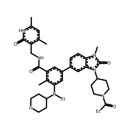 CCC(=O)N1CCC(n2c(=O)n(C)c3ccc(-c4cc(C(=O)NCc5c(C)cc(C)[nH]c5=O)c(C)c(N(CC)C5CCOCC5)c4)cc32)CC1